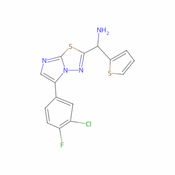 NC(c1cccs1)c1nn2c(-c3ccc(F)c(Cl)c3)cnc2s1